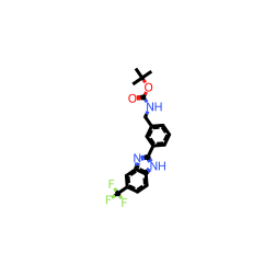 CC(C)(C)OC(=O)NCc1cccc(-c2nc3cc(C(F)(F)F)ccc3[nH]2)c1